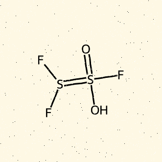 O=S(O)(F)=S(F)F